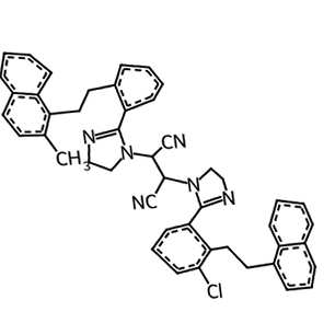 Cc1ccc2ccccc2c1CCc1ccccc1C1=NCCN1C(C#N)C(C#N)N1CCN=C1c1cccc(Cl)c1CCc1cccc2ccccc12